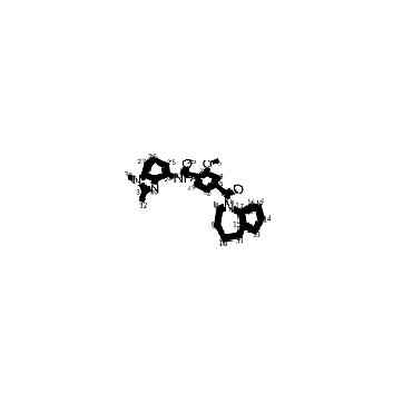 COc1cc(C(=O)N2CCCCc3ccccc32)ccc1C(=O)Nc1cccc2c1nc(C)n2C